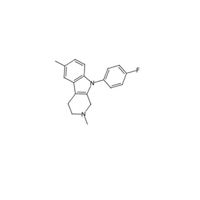 Cc1ccc2c(c1)c1c(n2-c2ccc(F)cc2)CN(C)CC1